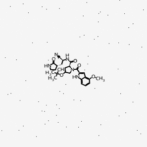 COc1cccc2[nH]c(C(=O)N3CC(OC(C)(C)C)C[C@H]3C(=O)N[C@H](C#N)C[C@@H]3CCNC3=O)cc12